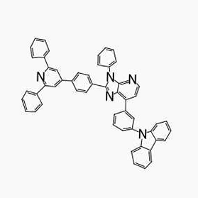 c1ccc(-c2cc(-c3ccc(-c4nc5c(-c6cccc(-n7c8ccccc8c8ccccc87)c6)ccnc5n4-c4ccccc4)cc3)cc(-c3ccccc3)n2)cc1